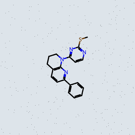 CSc1nccc(N2CCCc3ccc(-c4ccccc4)nc32)n1